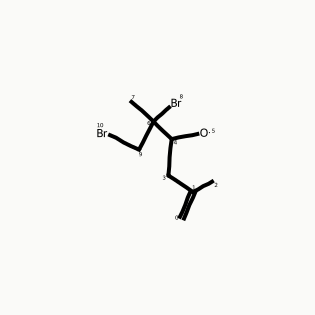 C=C(C)CC([O])C(C)(Br)CBr